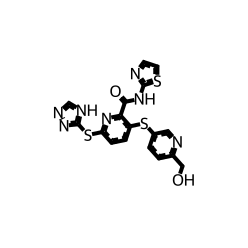 O=C(Nc1nccs1)c1nc(Sc2nnc[nH]2)ccc1Sc1ccc(CO)nc1